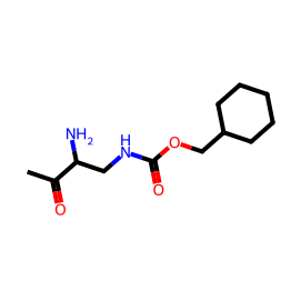 CC(=O)C(N)CNC(=O)OCC1CCCCC1